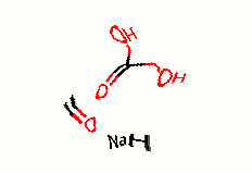 C=O.O=C(O)O.[NaH]